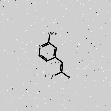 CCC(=Cc1ccnc(OC)c1)C(=O)O